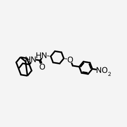 O=C(NC12CC3CC(CC(C3)C1)C2)N[C@H]1CC[C@@H](OCc2ccc([N+](=O)[O-])cc2)CC1